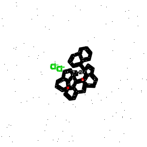 C1=C[C]([Zr+2][C]2(c3cccc4ccccc34)C=Cc3ccccc32)(c2cccc3ccccc23)c2ccccc21.[Cl-].[Cl-]